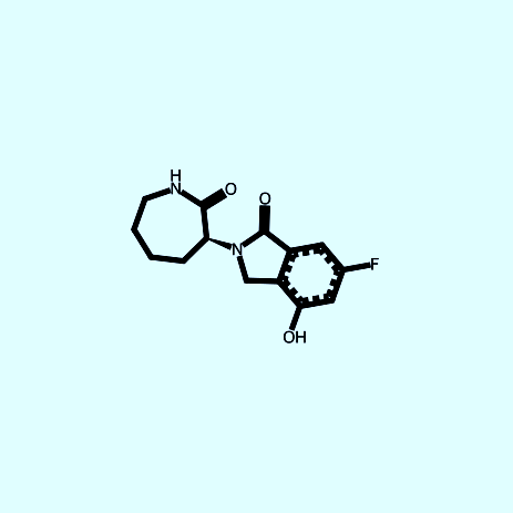 O=C1NCCCC[C@@H]1N1Cc2c(O)cc(F)cc2C1=O